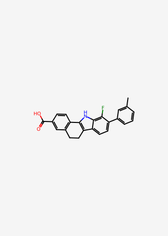 Cc1cccc(-c2ccc3c4c([nH]c3c2F)-c2ccc(C(=O)O)cc2CC4)c1